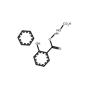 CCCOC(=O)c1ccccc1O.O=C(O)O.c1ccccc1